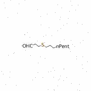 CCCCCCCCSCC[C]=O